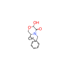 C[C@H]1COC(O)C(=O)N1Cc1ccccc1